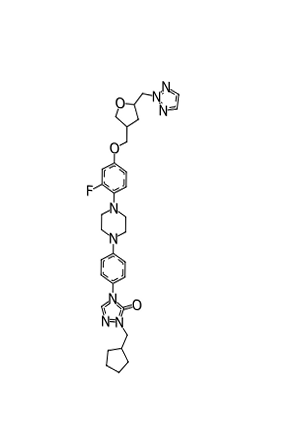 O=c1n(-c2ccc(N3CCN(c4ccc(OCC5COC(Cn6nccn6)C5)cc4F)CC3)cc2)cnn1CC1CCCC1